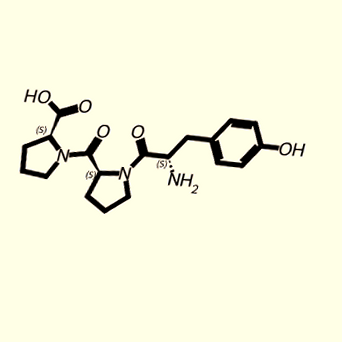 N[C@@H](Cc1ccc(O)cc1)C(=O)N1CCC[C@H]1C(=O)N1CCC[C@H]1C(=O)O